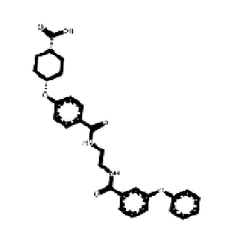 O=C(NCCNC(=O)c1cccc(Oc2ccccc2)c1)c1ccc(O[C@H]2CC[C@@H](C(=O)O)CC2)cc1